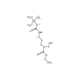 CCOC(=O)C(CO)CCCNC(=O)OC(C)(C)C